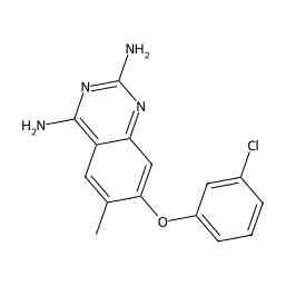 Cc1cc2c(N)nc(N)nc2cc1Oc1cccc(Cl)c1